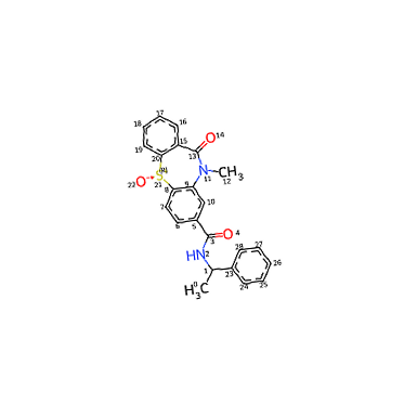 CC(NC(=O)c1ccc2c(c1)N(C)C(=O)c1ccccc1[S@+]2[O-])c1ccccc1